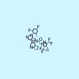 O=C(Cn1nc(C(F)F)c2c1C(F)(F)C1CC21)N[C@@H](Cc1cc(F)cc(F)c1)c1ncncc1-c1cnc2c(c1)C=CC2